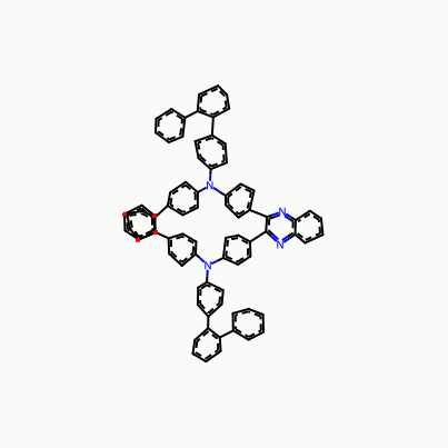 c1ccc(-c2ccc(N(c3ccc(-c4ccccc4-c4ccccc4)cc3)c3ccc(-c4nc5ccccc5nc4-c4ccc(N(c5ccc(-c6ccccc6)cc5)c5ccc(-c6ccccc6-c6ccccc6)cc5)cc4)cc3)cc2)cc1